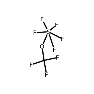 FC(F)(F)OS(F)(F)(F)(F)F